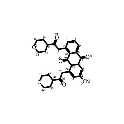 N#CC1=CC2C(=O)c3cccc(CC(=O)C4CCOCC4)c3C(=O)C2C(CC(=O)C2CCOCC2)=C1